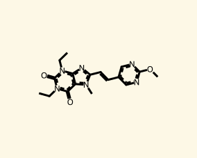 CCn1c(=O)c2c(nc(/C=C/c3cnc(OC)nc3)n2C)n(CC)c1=O